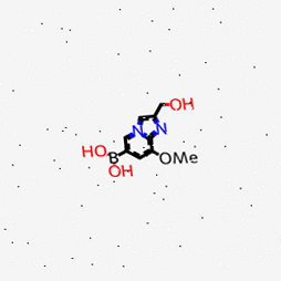 COc1cc(B(O)O)cn2cc(CO)nc12